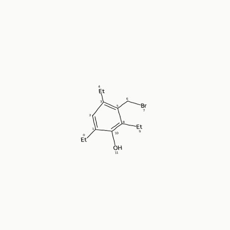 CCc1cc(CC)c(CBr)c(CC)c1O